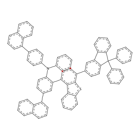 c1ccc(N(c2ccc(-c3cccc4ccccc34)cc2)c2ccc(-c3cccc4ccccc34)cc2-c2ccc(-c3ccc4c(c3)-c3ccccc3C4(c3ccccc3)c3ccccc3)c3sc4ccccc4c23)cc1